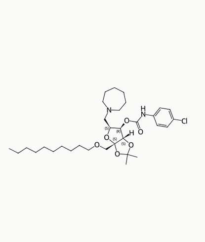 CCCCCCCCCCOC[C@@]12O[C@@H](CN3CCCCCC3)[C@@H](OC(=O)Nc3ccc(Cl)cc3)[C@@H]1OC(C)(C)O2